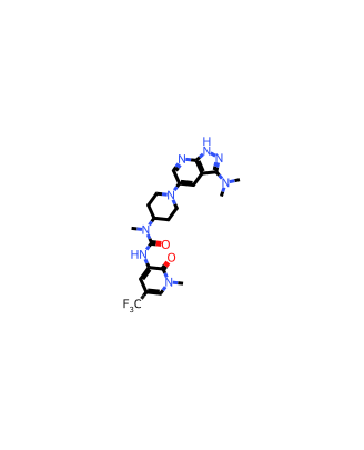 CN(C)c1n[nH]c2ncc(N3CCC(N(C)C(=O)Nc4cc(C(F)(F)F)cn(C)c4=O)CC3)cc12